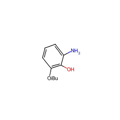 CC(C)COc1cccc(N)c1O